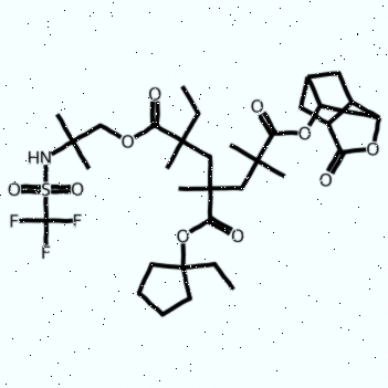 CCC1(OC(=O)C(C)(CC(C)(C)C(=O)OC2C3CC4C(=O)OC2C4C3)CC(C)(CC)C(=O)OCC(C)(C)NS(=O)(=O)C(F)(F)F)CCCC1